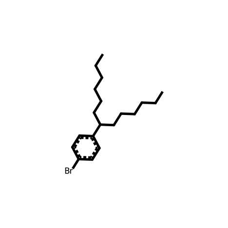 CCCCCCC(CCCCCC)c1ccc(Br)cc1